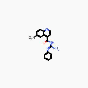 NC(=Nc1ccccc1)NC(=O)c1ccnc2ccc([N+](=O)[O-])cc12